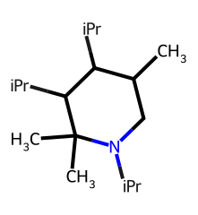 CC(C)C1C(C)CN(C(C)C)C(C)(C)C1C(C)C